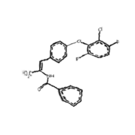 O=C(O)/C(=C/c1ccc(Oc2c(F)ccc(F)c2Cl)cc1)NC(=O)c1ccccc1